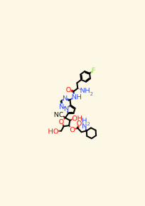 N#CC1(c2ccc3c(NC(=O)[C@@H](N)Cc4ccc(F)cc4)ncnn23)OC(CO)C(OC(=O)CC2(N)CCCCC2)C1O